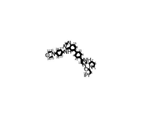 CC(C)CC(=O)N1CCC[C@H]1c1ncc(-c2ccc(-c3ccc4ncnc(Nc5ccc(N6CCOCC6)cc5)c4c3)cc2)[nH]1